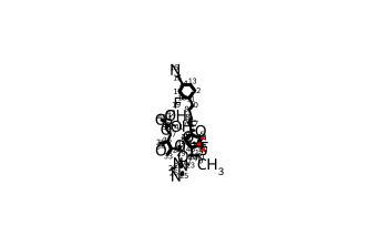 C[C@@H](S[C@H]1CO[C@H](C=CC=Cc2ccc(C#N)cc2F)OC1)[C@@](Cn1cncn1)(OC(=O)c1cocc1COP(=O)(O)O)c1ccc(F)cc1F